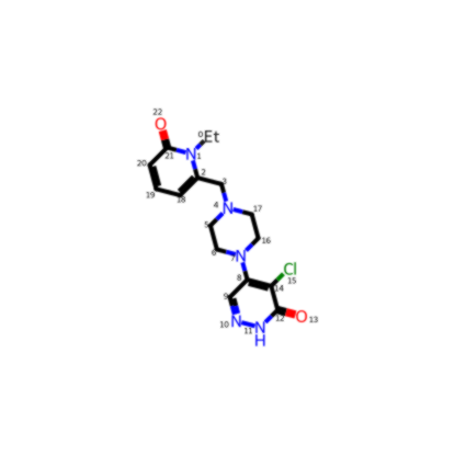 CCn1c(CN2CCN(c3cn[nH]c(=O)c3Cl)CC2)cccc1=O